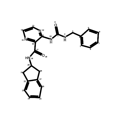 O=C(NCc1ccccc1)Nc1nccnc1C(=O)NC1Cc2ccccc2C1